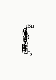 CC[C@H](C)CCCOc1ccc(C(=O)Oc2ccc(OCC(F)(F)C(F)(F)C(F)(F)C(F)(F)C(F)(F)F)cc2)cn1